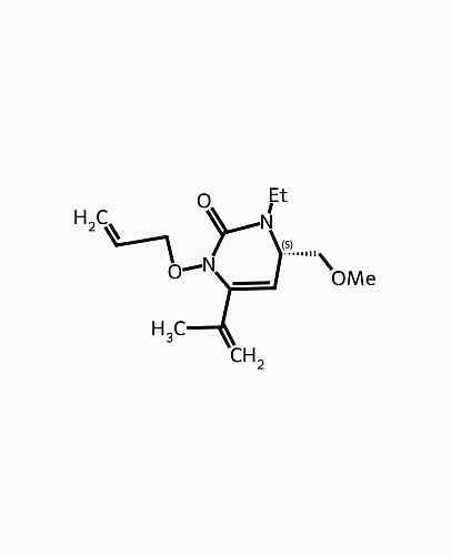 C=CCON1C(=O)N(CC)[C@H](COC)C=C1C(=C)C